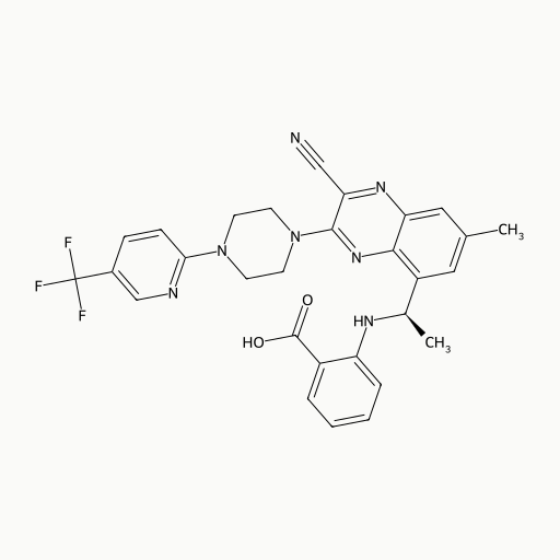 Cc1cc([C@@H](C)Nc2ccccc2C(=O)O)c2nc(N3CCN(c4ccc(C(F)(F)F)cn4)CC3)c(C#N)nc2c1